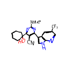 CNc1nc(-c2c[nH]c3ncc(C(F)(F)F)cc23)c(C#N)c(C2(O)CCCCC2)n1